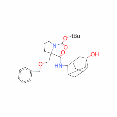 CC(C)(C)OC(=O)N1CCCC1(COCc1ccccc1)C(=O)NC1C2CC3CC1CC(O)(C3)C2